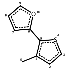 Cc1ccsc1-c1ccco1